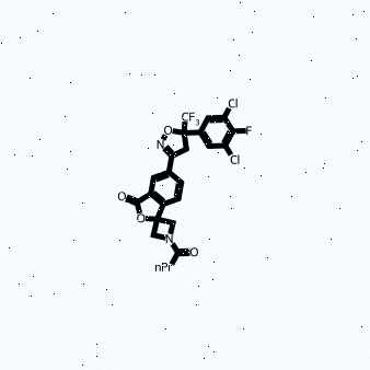 CCCC(=O)N1CC2(C1)OC(=O)c1cc(C3=NOC(c4cc(Cl)c(F)c(Cl)c4)(C(F)(F)F)C3)ccc12